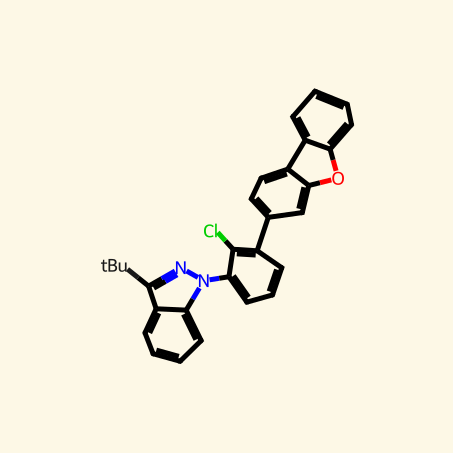 CC(C)(C)c1nn(-c2cccc(-c3ccc4c(c3)oc3ccccc34)c2Cl)c2ccccc12